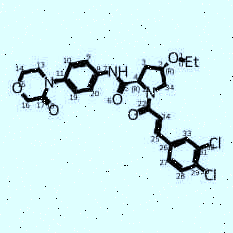 CCO[C@@H]1C[C@H](C(=O)Nc2ccc(N3CCOCC3=O)cc2)N(C(=O)C=Cc2ccc(Cl)c(Cl)c2)C1